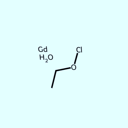 CCOCl.O.[Gd]